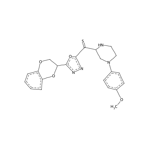 COc1ccc(N2CCNC(C(=S)c3nnc(C4COc5ccccc5O4)o3)C2)cc1